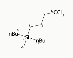 CCCC[Si](C)(C[CH]CC(Cl)(Cl)Cl)CCCC